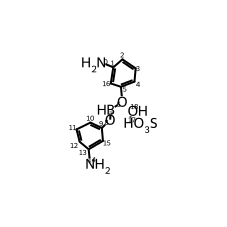 Nc1cccc(OBOc2cccc(N)c2)c1.O=S(=O)(O)O